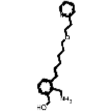 NCc1c(CO)cccc1CCCCCCOCCc1ccccn1